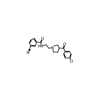 N#Cc1cccc(C(=O)NCCN2CCC(C(=O)c3ccc(Cl)cc3)CC2)c1